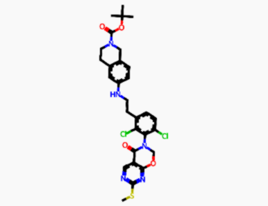 CSc1ncc2c(n1)OCN(c1c(Cl)ccc(CCNc3ccc4c(c3)CCN(C(=O)OC(C)(C)C)C4)c1Cl)C2=O